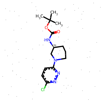 CC(C)(C)OC(=O)N[C@H]1CCCN(c2ccc(Cl)nn2)C1